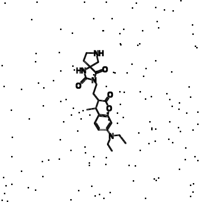 CCN(CC)c1ccc2c(c1)OC(=O)C(CCN1C(=O)NC3(CCNC3)C1=O)C2C